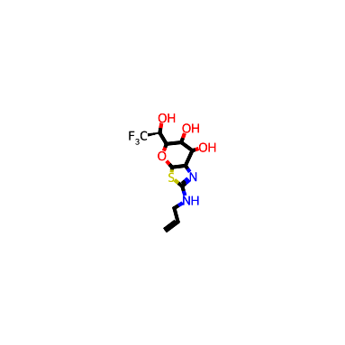 C=CCNC1=NC2C(OC([C@H](O)C(F)(F)F)C(O)C2O)S1